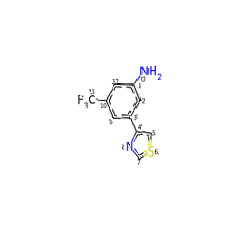 Nc1cc(-c2cscn2)cc(C(F)(F)F)c1